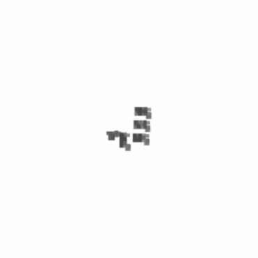 [NH2-].[NH2-].[NH2-].[NH2-].[Ti+4]